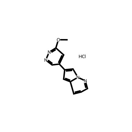 COc1cc(-c2cc3cccnn3c2)cnn1.Cl